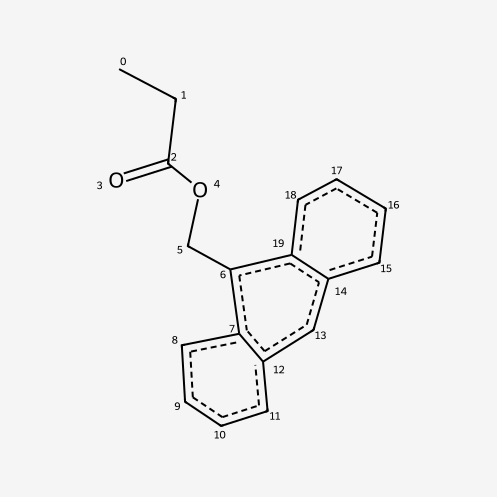 CCC(=O)OCc1c2ccccc2cc2ccccc12